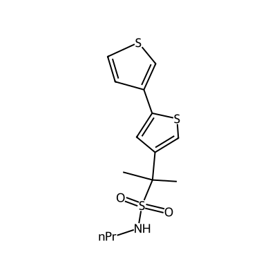 CCCNS(=O)(=O)C(C)(C)c1csc(-c2ccsc2)c1